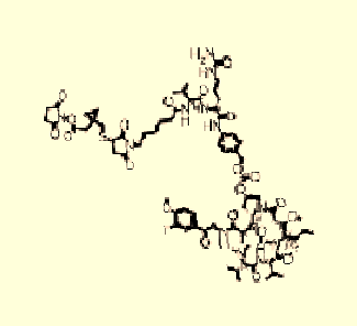 CC[C@H](C)[C@@H]([C@@H](CC(=O)N1C[C@@H](OC(=O)OCc2ccc(NC(=O)[C@H](CCCNC(N)=O)NC(=O)[C@@H](NC(=O)CCCCCN3C(=O)CC(SCC4(CC(=O)ON5C(=O)CCC5=O)CC4)C3=O)C(C)C)cc2)C[C@H]1[C@H](OC)[C@@H](C)C(=O)NCC(=O)c1ccc(OC)c(F)c1)OC)N(C)C(=O)[C@@H](NC(=O)[C@H](C(C)C)N(C)C)C(C)C